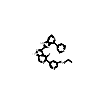 CCNCc1cncc(-c2ncc3[nH]nc(-c4nc5c(-c6ccncc6)nccc5[nH]4)c3c2F)c1